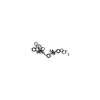 CCCc1ccccc1N1C(=O)CS/C1=N\C(=O)NCCc1cccc(-c2ncn(-c3ccc(OC(F)(F)F)cc3)n2)c1